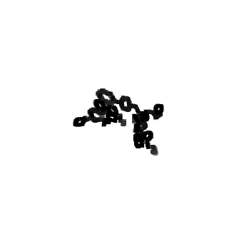 COC(=O)c1cc2c(nc(Cc3ccc(-c4cccc5c4OC(C)(c4ccc(Cl)cc4F)O5)cc3)n2CC2CCO2)s1